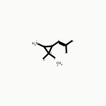 C.CC(C)=CC1C(N)C1(C)C